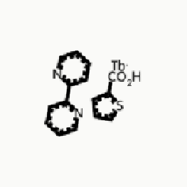 O=C(O)c1cccs1.[Tb].c1ccc(-c2ccccn2)nc1